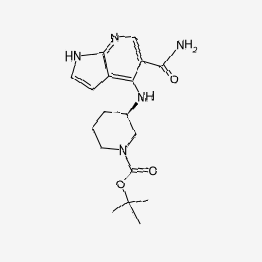 CC(C)(C)OC(=O)N1CCC[C@@H](Nc2c(C(N)=O)cnc3[nH]ccc23)C1